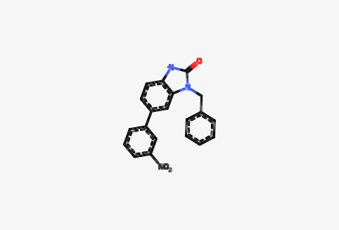 O=C1[N]c2ccc(-c3cccc([N+](=O)[O-])c3)cc2N1Cc1ccccc1